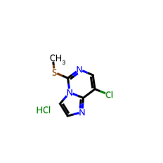 CSc1ncc(Cl)c2nccn12.Cl